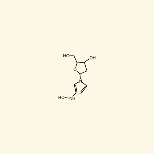 OCC1OC(n2ccc(NO)c2)CC1O